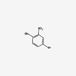 C[C](C)c1ccc(C(C)(C)C)c([N+](=O)[O-])c1